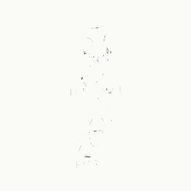 O=C(O)C(CCn1nnc2ccccc2c1=O)C(O)CCc1ccc(-c2ccc(F)c(F)c2)cc1